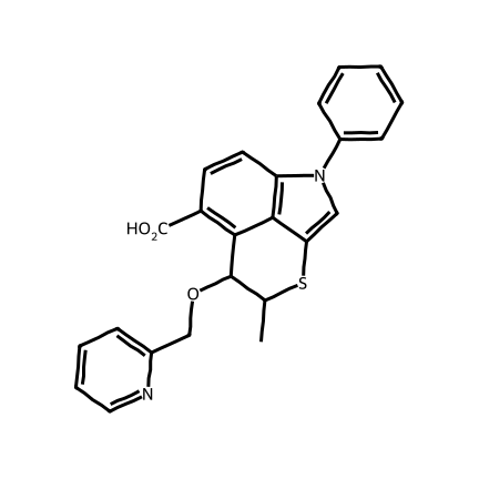 CC1Sc2cn(-c3ccccc3)c3ccc(C(=O)O)c(c23)C1OCc1ccccn1